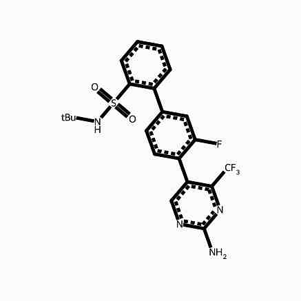 CC(C)(C)NS(=O)(=O)c1ccccc1-c1ccc(-c2cnc(N)nc2C(F)(F)F)c(F)c1